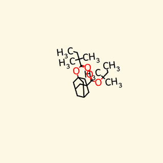 CCC(C)(C)OC(=O)C12CC3CC(CC(OC(=O)C(C)(C)CC)(C3)C1)C2